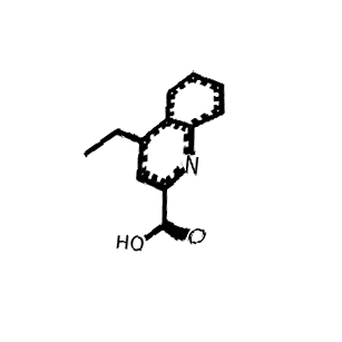 CCc1cc(C(=O)O)nc2ccccc12